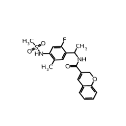 Cc1cc(C(C)NC(=O)C2=Cc3ccccc3OC2)c(F)cc1NS(C)(=O)=O